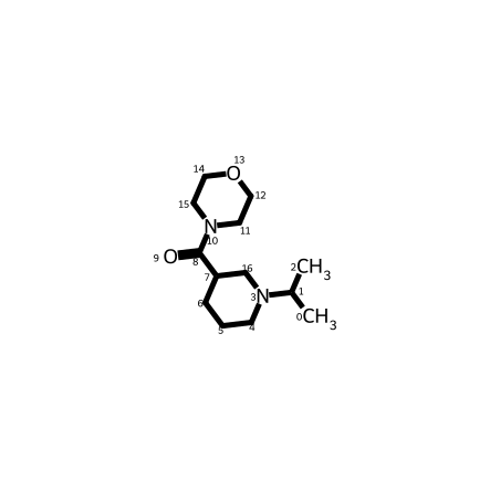 CC(C)N1CCCC(C(=O)N2CCOCC2)C1